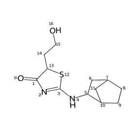 O=C1N=C(NC2CC3CCC2C3)SC1CCO